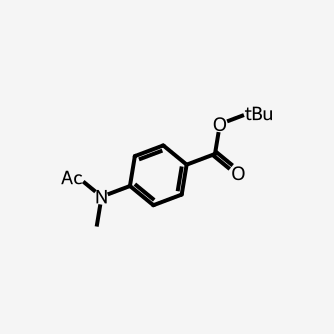 CC(=O)N(C)c1ccc(C(=O)OC(C)(C)C)cc1